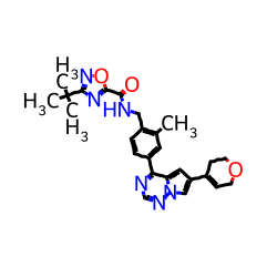 Cc1cc(-c2ncnn3cc(C4=CCOCC4)cc23)ccc1CNC(=O)c1nc(C(C)(C)C)no1